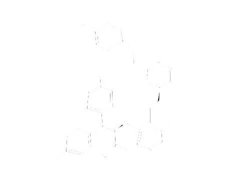 NC(=O)[C@H](Nc1cncc(F)c1CC[C@@H]1CNC[C@@H](CSc2ccc(Cl)cc2)O1)C(c1ccc(F)cc1)c1ccc(F)cc1